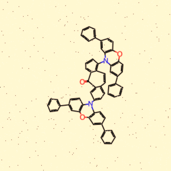 O=c1c2cc(N3c4ccc(-c5ccccc5)cc4Oc4cc(-c5ccccc5)ccc43)ccc2ccc2c(N3c4cc(-c5ccccc5)ccc4Oc4ccc(-c5ccccc5)cc43)cccc12